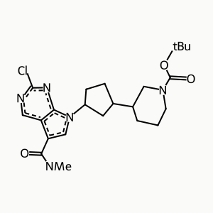 CNC(=O)c1cn(C2CCC(C3CCCN(C(=O)OC(C)(C)C)C3)C2)c2nc(Cl)ncc12